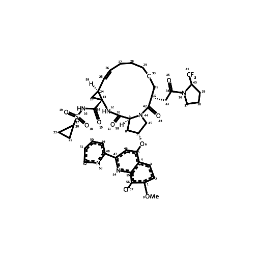 COc1ccc2c(O[C@@H]3C[C@H]4C(=O)N[C@]5(C(=O)NS(=O)(=O)C6CC6)C[C@H]5/C=C\CCCCC[C@H](CC(=O)N5CCCC5C(F)(F)F)C(=O)N4C3)cc(-c3ccccn3)nc2c1Cl